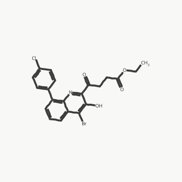 CCOC(=O)CCC(=O)c1nc2c(-c3ccc(Cl)cc3)cccc2c(Br)c1O